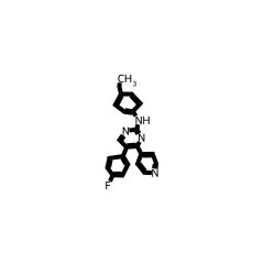 CCc1ccc(Nc2ncc(-c3ccc(F)cc3)c(-c3ccncc3)n2)cc1